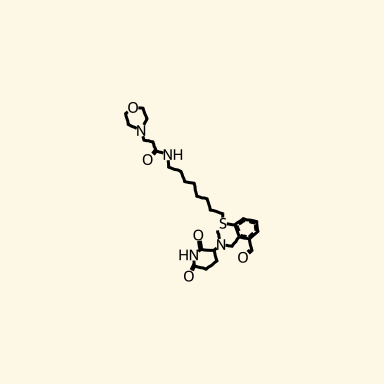 CN(Cc1c(C=O)cccc1SCCCCCCCCNC(=O)CCN1CCOCC1)C1CCC(=O)NC1=O